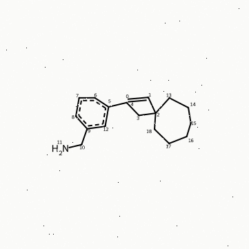 C=CC1(CCc2cccc(CN)c2)CCCCCC1